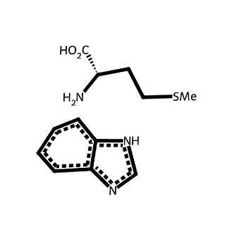 CSCC[C@H](N)C(=O)O.c1ccc2[nH]cnc2c1